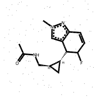 CC(=O)NC[C@@H]1C[C@H]1C1c2cn(C)nc2C=CC1F